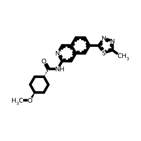 CO[C@H]1CC[C@H](C(=O)Nc2cc3cc(-c4nnc(C)s4)ccc3cn2)CC1